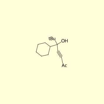 CC(=O)C#CC(O)(C1CCCCC1)C(C)(C)C